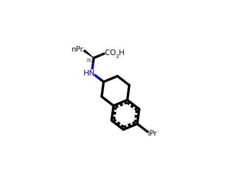 CCC[C@H](NC1CCc2cc(C(C)C)ccc2C1)C(=O)O